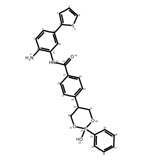 Nc1ccc(-c2cccs2)cc1NC(=O)c1ccc(C2CO[P](O)(c3ccccc3)OC2)cc1